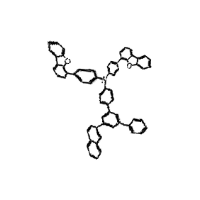 c1ccc(-c2cc(-c3ccc(N(c4ccc(-c5cccc6c5oc5ccccc56)cc4)c4ccc(-c5cccc6c5oc5ccccc56)cc4)cc3)cc(-c3ccc4ccccc4c3)c2)cc1